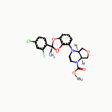 CC(C)(C)OC(=O)N1CCN(c2cccc3c2O[C@](C)(c2ccc(Cl)cc2F)O3)[C@H]2COC[C@H]21